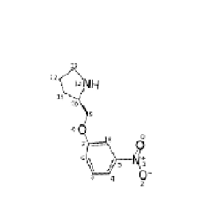 O=[N+]([O-])c1cccc(OC[C@H]2CCCN2)c1